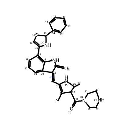 CC1=C(/C=C2\C(=O)Nc3c(C4=CSC(c5ccccc5)N4)cccc32)NC(C)C1C(=O)N1CCNCC1